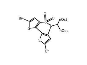 CCCCCCCCC(CCCCCCCC)N1c2cc(Br)sc2-c2sc(Br)cc2S1(=O)=O